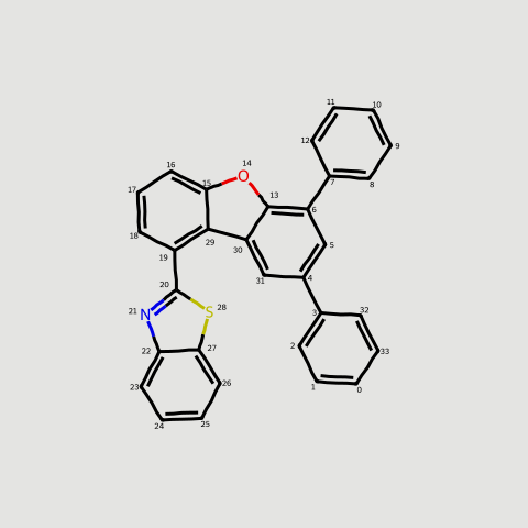 c1ccc(-c2cc(-c3ccccc3)c3oc4cccc(-c5nc6ccccc6s5)c4c3c2)cc1